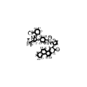 O=C(Nc1sccc1C1Cc2c(ccc3c2ccc2ccccc23)CC1=O)c1ccc(-c2cc(C(F)(F)F)nn2-c2ccccc2Cl)cc1